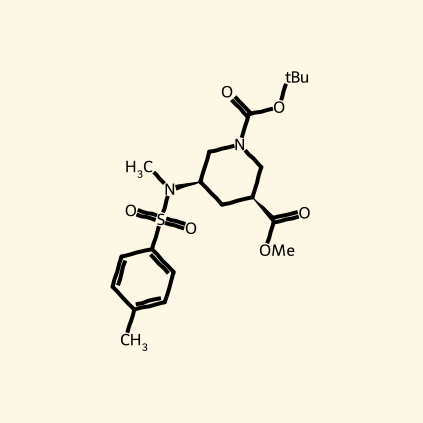 COC(=O)[C@H]1C[C@@H](N(C)S(=O)(=O)c2ccc(C)cc2)CN(C(=O)OC(C)(C)C)C1